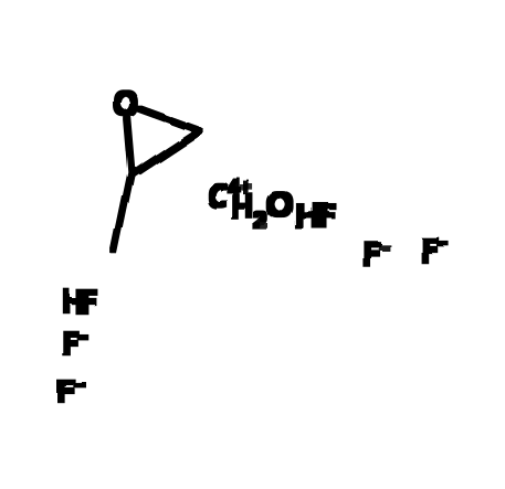 CC1CO1.F.F.O.[C+4].[F-].[F-].[F-].[F-]